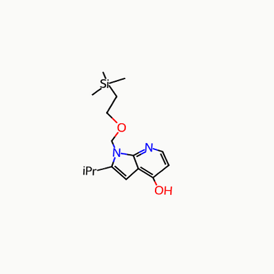 CC(C)c1cc2c(O)ccnc2n1COCC[Si](C)(C)C